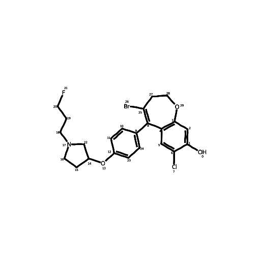 Oc1cc2c(cc1Cl)C(c1ccc(OC3CCN(CCCF)C3)cc1)=C(Br)CCO2